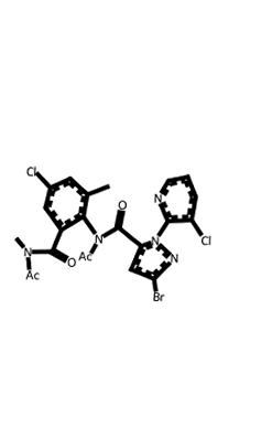 CC(=O)N(C)C(=O)c1cc(Cl)cc(C)c1N(C(C)=O)C(=O)c1cc(Br)nn1-c1ncccc1Cl